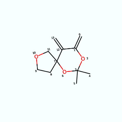 C=C1OC(C)(C)OC2(CCOC2)C1=C